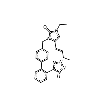 CC/C=C/c1cn(CC)c(=O)n1Cc1ccc(-c2ccccc2-c2nnn[nH]2)cc1